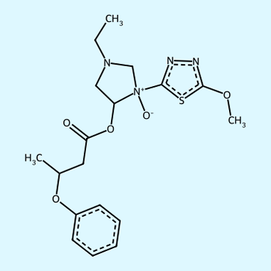 CCN1CC(OC(=O)CC(C)Oc2ccccc2)[N+]([O-])(c2nnc(OC)s2)C1